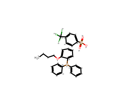 CCCCOc1ccccc1[S+](c1ccccc1)c1ccccc1.O=S(=O)([O-])c1ccc(C(F)(F)F)cc1